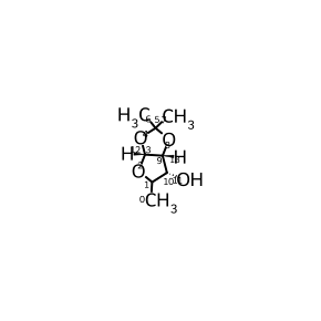 CC1O[C@@H]2OC(C)(C)O[C@@H]2[C@@H]1O